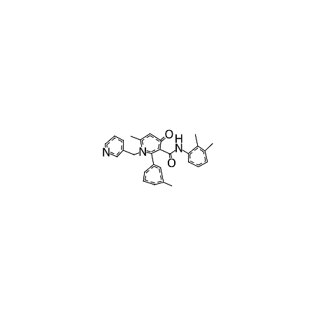 Cc1cccc(-c2c(C(=O)Nc3cccc(C)c3C)c(=O)cc(C)n2Cc2cccnc2)c1